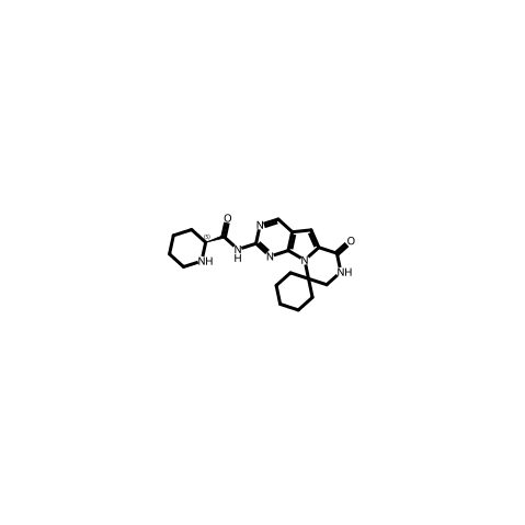 O=C1NCC2(CCCCC2)n2c1cc1cnc(NC(=O)[C@@H]3CCCCN3)nc12